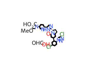 COCCN(C(=O)O)c1ccc(-c2cnc([C@@H]3CCc4cc(-c5cc(Cl)ccc5-n5cc(Cl)nn5)cc(=O)n43)[nH]2)nc1.O=CO